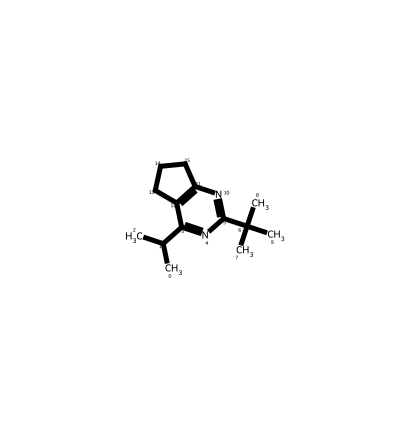 CC(C)c1nc(C(C)(C)C)nc2c1CCC2